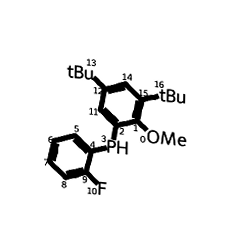 COc1c(Pc2ccccc2F)cc(C(C)(C)C)cc1C(C)(C)C